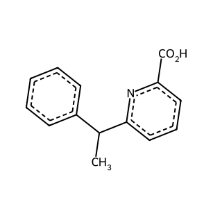 CC(c1ccccc1)c1cccc(C(=O)O)n1